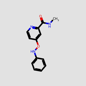 CNC(=O)c1cc(ONc2ccccc2)ccn1